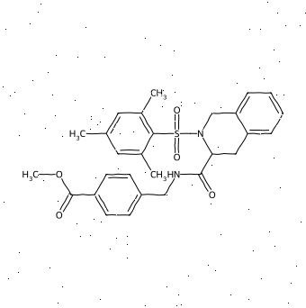 COC(=O)c1ccc(CNC(=O)C2Cc3ccccc3CN2S(=O)(=O)c2c(C)cc(C)cc2C)cc1